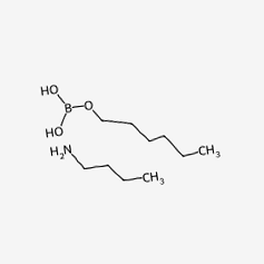 CCCCCCOB(O)O.CCCCN